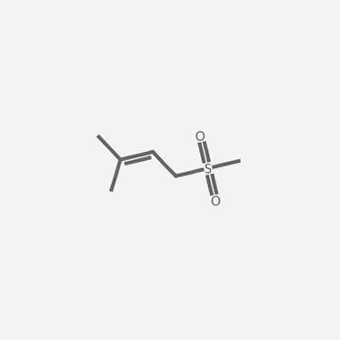 CC(C)=CCS(C)(=O)=O